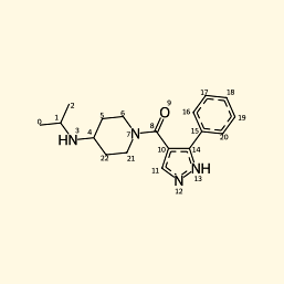 CC(C)NC1CCN(C(=O)c2cn[nH]c2-c2ccccc2)CC1